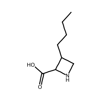 CCCCC1CNC1C(=O)O